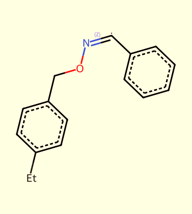 CCc1ccc(CO/N=[C]\c2ccccc2)cc1